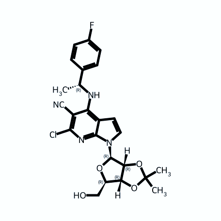 C[C@@H](Nc1c(C#N)c(Cl)nc2c1ccn2[C@@H]1O[C@H](CO)[C@H]2OC(C)(C)O[C@H]21)c1ccc(F)cc1